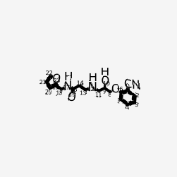 N#Cc1ccccc1OCC(O)CNCCC(=O)NCc1ccco1